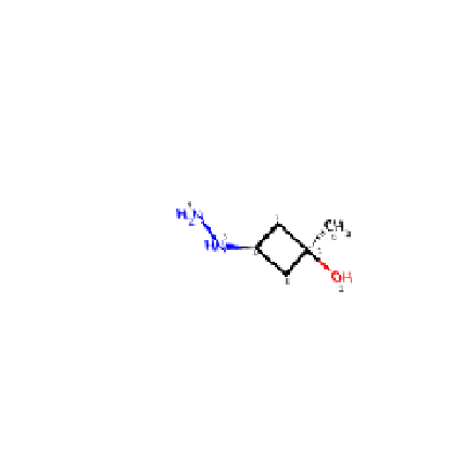 C[C@]1(O)C[C@@H](NN)C1